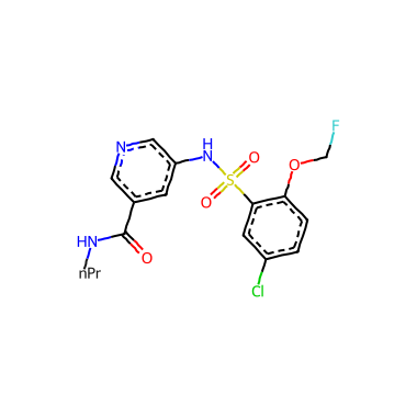 CCCNC(=O)c1cncc(NS(=O)(=O)c2cc(Cl)ccc2OCF)c1